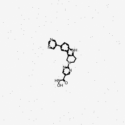 O=C(NO)c1cnc(N2CCc3[nH]c4ccc(-c5cncnc5)cc4c3C2)nc1